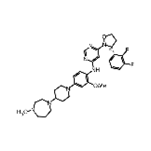 COc1cc(N2CCC(N3CCCN(C)CC3)CC2)ccc1Nc1cc(N2OCC[C@@H]2c2cccc(F)c2F)ncn1